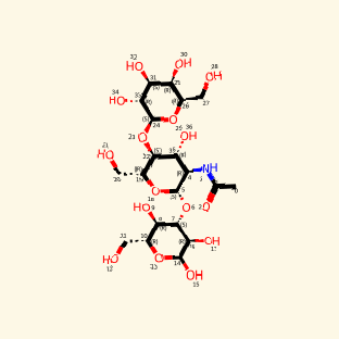 CC(=O)N[C@H]1[C@H](O[C@H]2[C@H](O)[C@@H](CO)OC(O)[C@@H]2O)O[C@H](CO)[C@@H](O[C@@H]2O[C@H](CO)[C@H](O)[C@H](O)[C@H]2O)[C@@H]1O